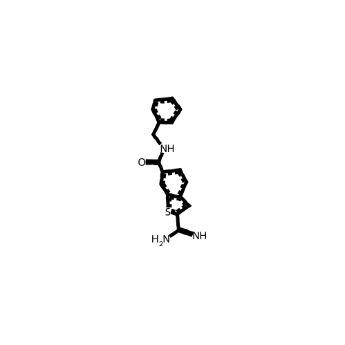 N=C(N)c1cc2ccc(C(=O)NCc3ccccc3)cc2s1